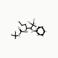 CCCC(NC(=O)OC(C)(C)C)C(Oc1ccccc1)C(F)(F)F